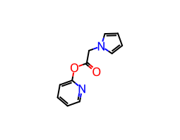 O=C(Cn1cccc1)Oc1ccccn1